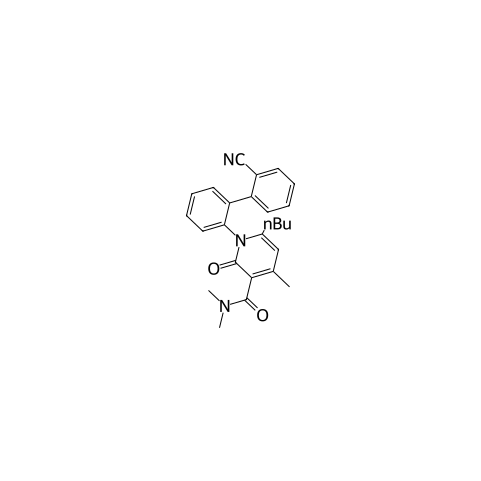 CCCCc1cc(C)c(C(=O)N(C)C)c(=O)n1-c1ccccc1-c1ccccc1C#N